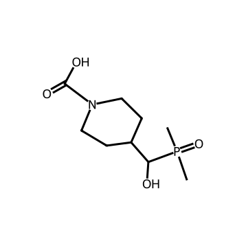 CP(C)(=O)C(O)C1CCN(C(=O)O)CC1